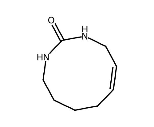 O=C1NC/C=C\CCCCN1